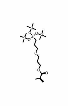 C=C(C)C(=O)OCCCOCCC[Si](O[Si](C)(C)C)(O[Si](C)(C)C)O[Si](C)(C)C